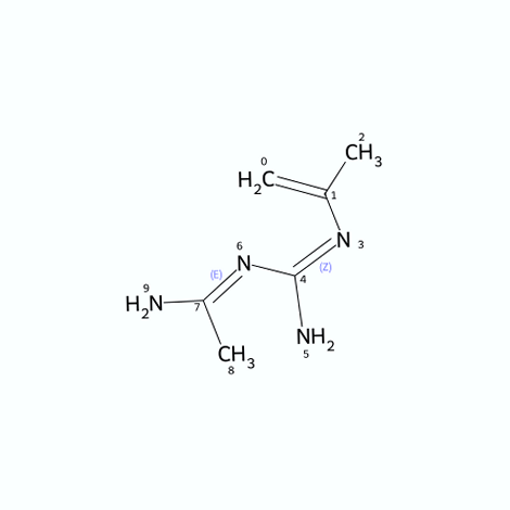 C=C(C)/N=C(N)\N=C(/C)N